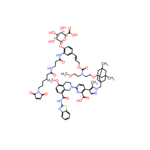 COCCN(CCOC12CC3(C)CC(C)(CC(Cn4ncc(-c5ccc(N6CCc7c(OC)ccc(C(=O)Nc8nc9ccccc9s8)c7C6)nc5C(=O)O)c4C)(C3)C1)C2)C(=O)OC/C=C/c1ccc(O[C@@H]2O[C@H](C(=O)O)[C@@H](O)[C@H](O)[C@H]2O)c(NC(=O)CCNC(=O)CCCCCN2C(=O)C=CC2=O)c1